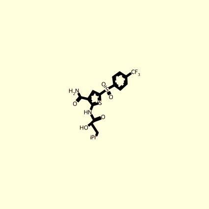 CC(C)CC(O)C(=O)Nc1sc(S(=O)(=O)c2ccc(C(F)(F)F)cc2)cc1C(N)=O